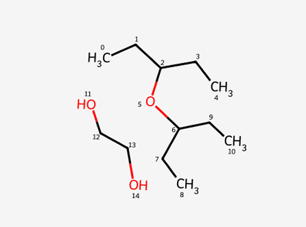 CCC(CC)OC(CC)CC.OCCO